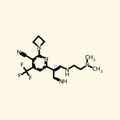 CN(C)CCN/C=C(\C=N)c1cc(C(F)(F)F)c(C#N)c(N2CCC2)n1